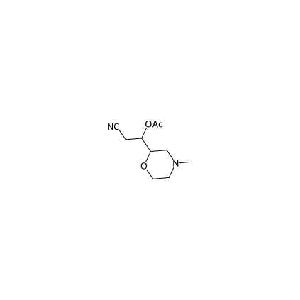 CC(=O)OC(CC#N)C1CN(C)CCO1